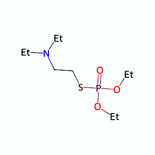 CCOP(=O)(OCC)SCCN(CC)CC